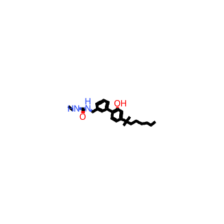 CCCCCCC(C)(C)c1ccc(-c2cccc(CNC(=O)NCC)c2)c(O)c1